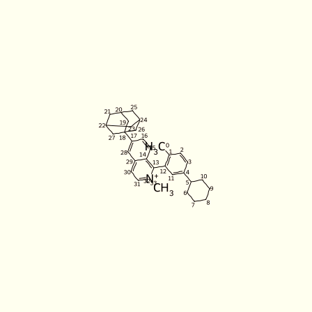 Cc1ccc(C2CCCCC2)cc1-c1c2ccc(C34CC5CC(CC(C5)C3)C4)cc2cc[n+]1C